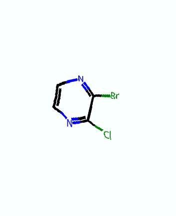 Clc1nccnc1Br